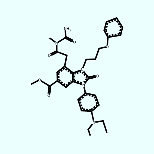 CCN(CC)c1ccc(-n2c(=O)n(CCCOc3ccccc3)c3c(CC(=O)N(C)C(N)=O)cc(C(=O)OC)cc32)cc1